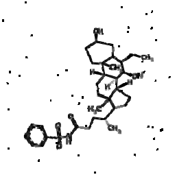 CC[C@@H]1C2C[C@H](O)CCC2(C)[C@H]2CCC3(C)C([C@H](C)CCC(=O)NS(=O)(=O)c4ccccc4)CC[C@H]3[C@@H]2[C@@H]1O